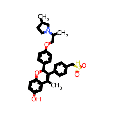 CC1=C(c2ccc(C[SH](=O)=O)cc2)C(c2ccc(OCC(C)N3CCC(C)C3)cc2)Oc2ccc(O)cc21